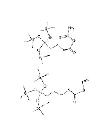 C=C(CCC[Si](O[Si](C)(C)C)(O[Si](C)(C)C)O[Si](C)(C)C)OC(N)=O.C=COC(=O)SCCC[Si](O[Si](C)(C)C)(O[Si](C)(C)C)O[Si](C)(C)C